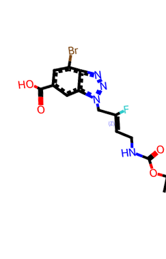 CC(C)(C)OC(=O)NC/C=C(\F)Cn1nnc2c(Br)cc(C(=O)O)cc21